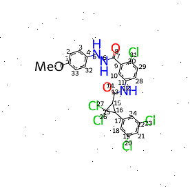 COc1ccc(NNC(=O)c2cc(NC(=O)C3C(c4cc(Cl)cc(Cl)c4)C3(Cl)Cl)ccc2Cl)cc1